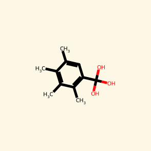 Cc1cc(C(O)(O)O)c(C)c(C)c1C